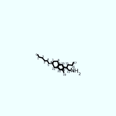 CCCCCC[C@H]1CCc2cc(C(CN)CCC)c(C)cc2C1